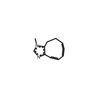 Cn1cnc2c1CCC=C=C/C=C\2